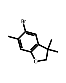 Cc1cc2c(cc1Br)C(C)(C)CO2